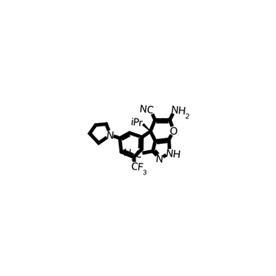 Cc1n[nH]c2c1[C@@](c1cc(N3CCCC3)cc(C(F)(F)F)c1)(C(C)C)C(C#N)=C(N)O2